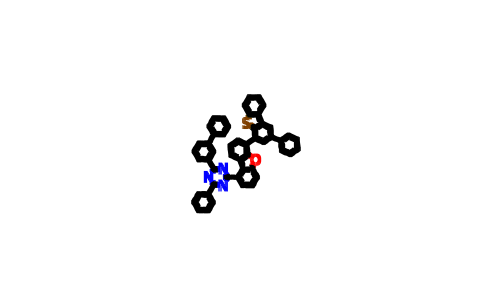 c1ccc(-c2cccc(-c3nc(-c4ccccc4)nc(-c4cccc5oc6c(-c7cc(-c8ccccc8)cc8c7sc7ccccc78)cccc6c45)n3)c2)cc1